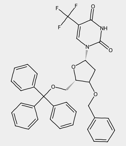 O=c1[nH]c(=O)n([C@@H]2CC(OCc3ccccc3)[C@H](COC(c3ccccc3)(c3ccccc3)c3ccccc3)O2)cc1C(F)(F)F